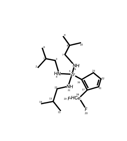 CC(C)C[NH][Zr]([NH]CC(C)C)([NH]CC(C)C)[C]1=[C]([GeH]([F])[F])C=CC1